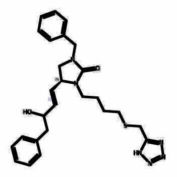 O=C1N(Cc2ccccc2)C[C@H](/C=C/C(O)Cc2ccccc2)N1CCCCSCc1nnn[nH]1